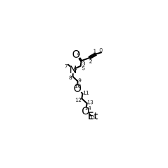 CC#CC(=O)CN(C)CCOCCCOCC